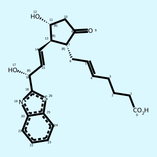 O=C(O)CCCC=CC[C@H]1C(=O)C[C@@H](O)[C@@H]1C=C[C@@H](O)c1nc2ccccc2s1